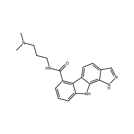 CN(C)CCCNC(=O)c1cccc2[nH]c3c(ccc4cn[nH]c43)c12